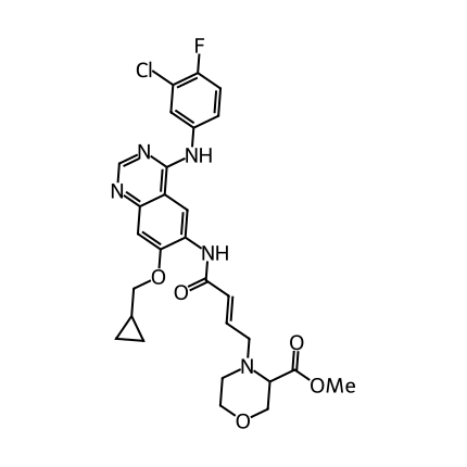 COC(=O)C1COCCN1CC=CC(=O)Nc1cc2c(Nc3ccc(F)c(Cl)c3)ncnc2cc1OCC1CC1